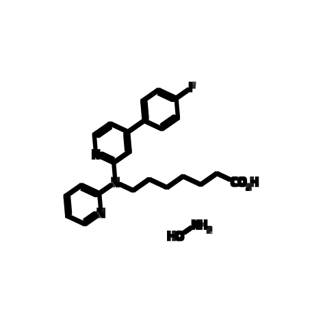 NO.O=C(O)CCCCCCN(c1ccccn1)c1cc(-c2ccc(F)cc2)ccn1